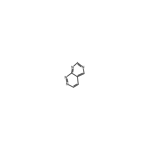 [c]1ncc2ccnnc2n1